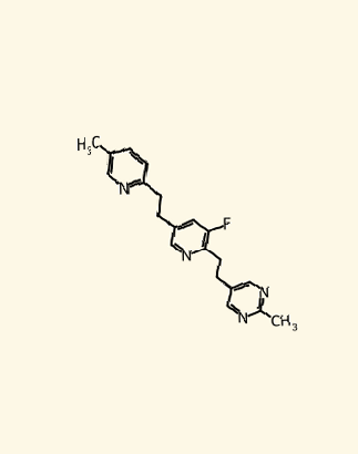 Cc1ccc(CCc2cnc(CCc3cnc(C)nc3)c(F)c2)nc1